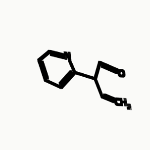 C=CC(C=O)c1ccccn1